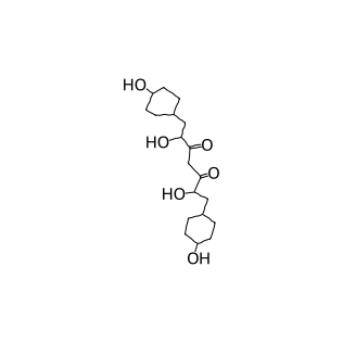 O=C(CC(=O)C(O)CC1CCC(O)CC1)C(O)CC1CCC(O)CC1